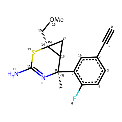 C#Cc1ccc(F)c([C@@]2(C)N=C(N)S[C@@]3(COC)CC32)c1